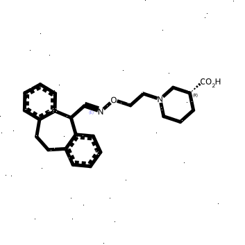 O=C(O)[C@@H]1CCCN(CCO/N=C/C2c3ccccc3CCc3ccccc32)C1